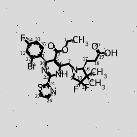 CCOC(=O)C1=C(CN2CC(F)(F)C(C)(C)[C@@H]2CCC(=O)O)NC(c2nccs2)=N[C@H]1c1ccc(F)cc1Br